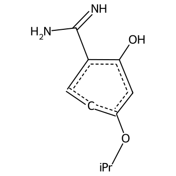 CC(C)Oc1ccc(C(=N)N)c(O)c1